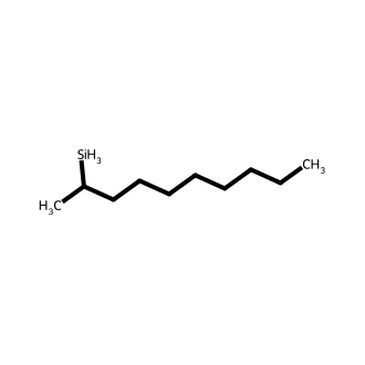 CCCCCCCCC(C)[SiH3]